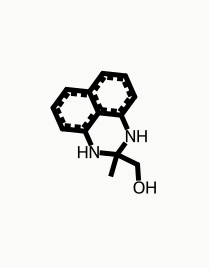 CC1(CO)Nc2cccc3cccc(c23)N1